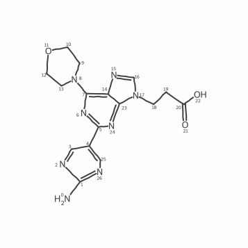 Nc1ncc(-c2nc(N3CCOCC3)c3ncn(CCC(=O)O)c3n2)cn1